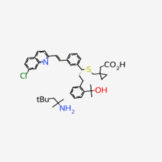 CC(C)(C)CC(C)(C)N.CC(C)(O)c1ccccc1CC[C@@H](SCC1(CC(=O)O)CC1)c1cccc(C=Cc2ccc3ccc(Cl)cc3n2)c1